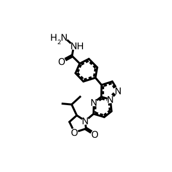 CC(C)C1COC(=O)N1c1ccn2ncc(-c3ccc(C(=O)NN)cc3)c2n1